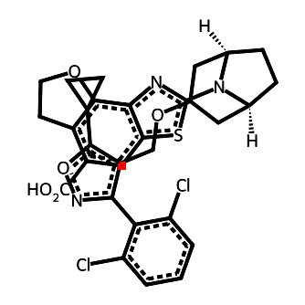 O=C(O)c1cc2sc(N3[C@@H]4CC[C@H]3CC(OCc3c(-c5c(Cl)cccc5Cl)noc3C3CC3)C4)nc2c2c1CCO2